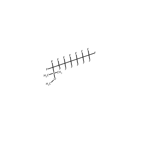 CO[Si](C)(C)C(F)(F)C(F)(F)C(F)(F)C(F)(F)C(F)(F)C(F)(F)C(F)(F)F